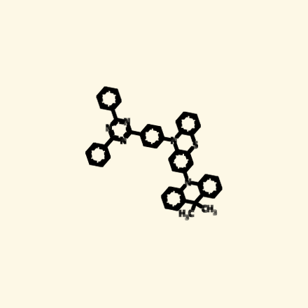 CC1(C)c2ccccc2N(c2ccc3c(c2)Sc2ccccc2N3c2ccc(-c3nc(-c4ccccc4)nc(-c4ccccc4)n3)cc2)c2ccccc21